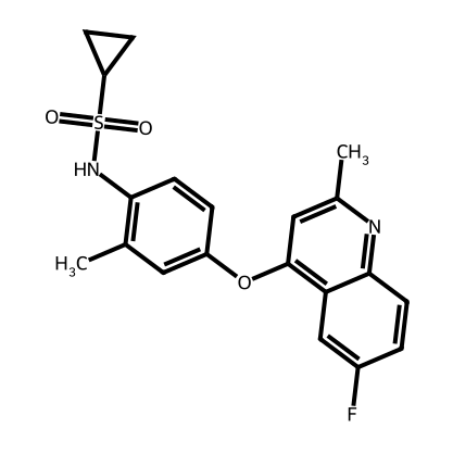 Cc1cc(Oc2ccc(NS(=O)(=O)C3CC3)c(C)c2)c2cc(F)ccc2n1